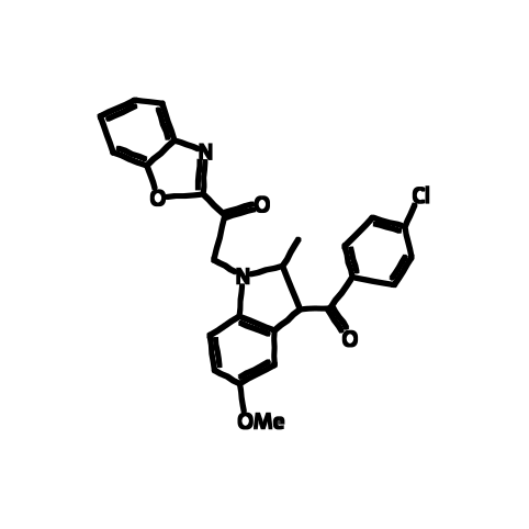 COc1ccc2c(c1)C(C(=O)c1ccc(Cl)cc1)C(C)N2CC(=O)c1nc2ccccc2o1